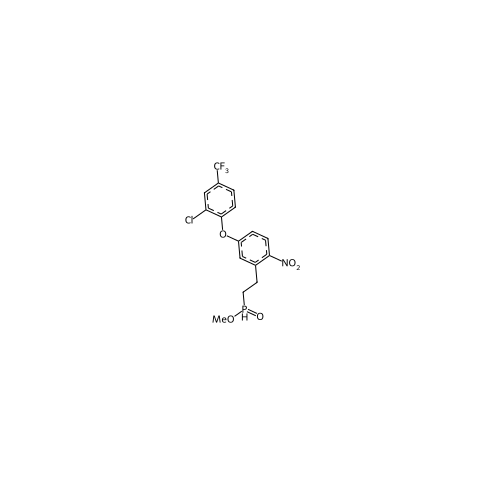 CO[PH](=O)CCc1cc(Oc2ccc(C(F)(F)F)cc2Cl)ccc1[N+](=O)[O-]